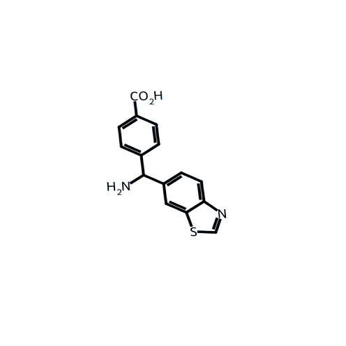 NC(c1ccc(C(=O)O)cc1)c1ccc2ncsc2c1